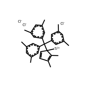 CC1=C(C)[C]([Ti+3])(C(c2cc(C)cc(C)c2)(c2cc(C)cc(C)c2)c2cc(C)cc(C)c2)C=C1.[Cl-].[Cl-].[Cl-]